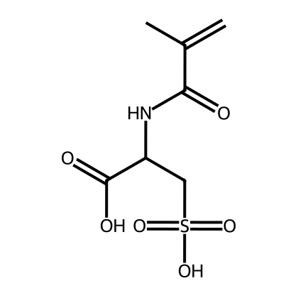 C=C(C)C(=O)NC(CS(=O)(=O)O)C(=O)O